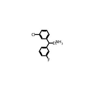 CCC(c1cccc(F)c1)c1cccc(Cl)c1.N